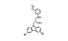 CCOc1cccc(NCC(O)Cn2c3ccc(Br)cc3c3cc(Br)ccc32)c1